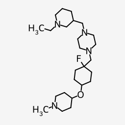 CCN1CCCC(CN2CCN(CC3(F)CCC(OC4CCN(C)CC4)CC3)CC2)C1